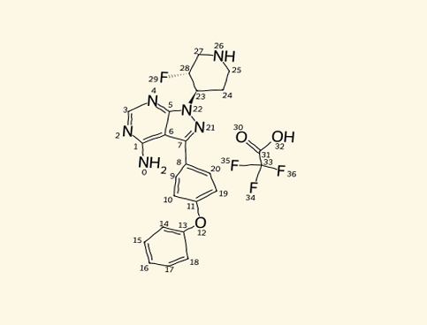 Nc1ncnc2c1c(-c1ccc(Oc3ccccc3)cc1)nn2[C@@H]1CCNC[C@H]1F.O=C(O)C(F)(F)F